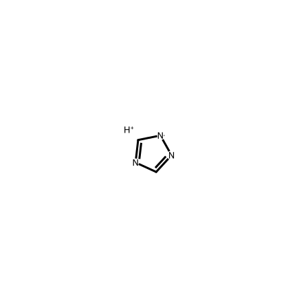 C1=NC=N[N]1.[H+]